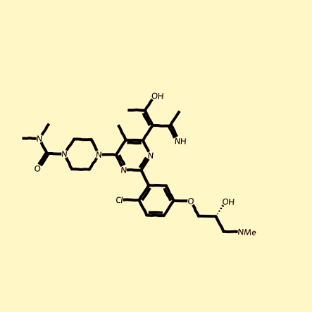 CNC[C@@H](O)COc1ccc(Cl)c(-c2nc(/C(C(C)=N)=C(\C)O)c(C)c(N3CCN(C(=O)N(C)C)CC3)n2)c1